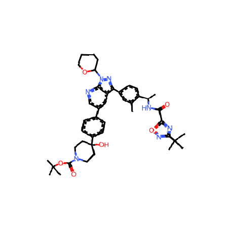 Cc1cc(-c2nn(C3CCCCO3)c3ncc(-c4ccc(C5(O)CCN(C(=O)OC(C)(C)C)CC5)cc4)cc23)ccc1C(C)NC(=O)c1nc(C(C)(C)C)no1